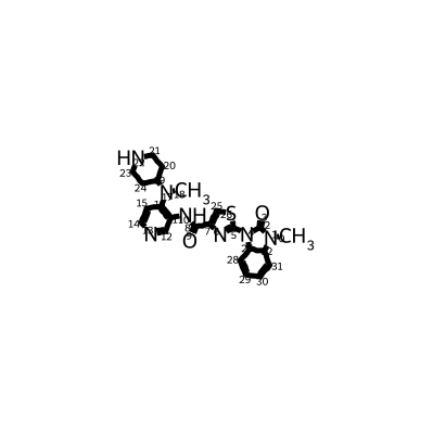 CN1C(=O)N(c2nc(C(=O)Nc3cnccc3N(C)C3CCNCC3)cs2)C2C=CC=CC21